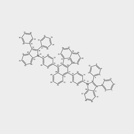 c1ccc(-c2c(-c3ccccc3)n(-c3ccc(-c4c5c(c(-c6ccc(-n7c(-c8ccccc8)c(-c8ccccc8)c8ccccc87)cc6)c6ccccc46)-c4cccc6cccc-5c46)cc3)c3ccccc23)cc1